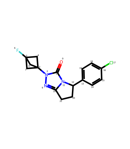 O=c1n(C23CC(F)(C2)C3)nc2n1C(c1ccc(Cl)cc1)CC2